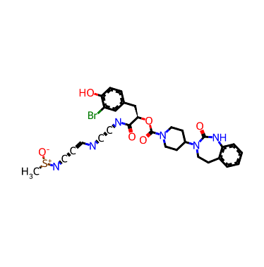 C[S+]([O-])N=C=C=CN=C=C=NC(=O)[C@@H](Cc1ccc(O)c(Br)c1)OC(=O)N1CCC(N2CCc3ccccc3NC2=O)CC1